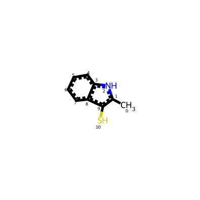 Cc1[nH]c2ccccc2c1S